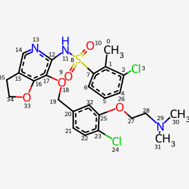 Cc1c(Cl)cccc1S(=O)(=O)Nc1ncc2c(c1OCc1ccc(Cl)c(OCCN(C)C)c1)OCC2